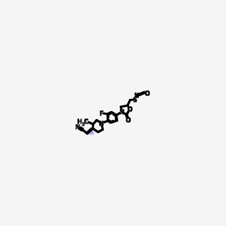 CC1CN(c2ccc(N3CC(CSN=C=O)OC3=O)cc2F)CC/C1=C/C#N